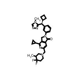 CC1CN(Cc2cc3c(c(C4CC4)n2)CN(c2cccc([C@@H](c4nncn4C)C4CCC4)c2)C3=O)CCC1(F)F